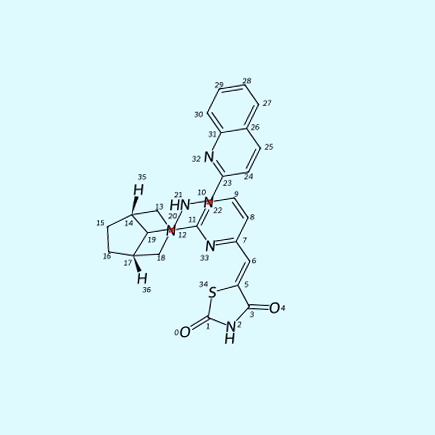 O=C1NC(=O)C(=Cc2ccnc(N3C[C@H]4CC[C@@H](C3)C4CNCc3ccc4ccccc4n3)n2)S1